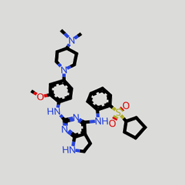 COc1cc(N2CCC(N(C)C)CC2)ccc1Nc1nc2c(c(Nc3ccccc3S(=O)(=O)C3CCCC3)n1)CCN2